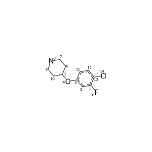 Fc1cc(OC2CC[N]CC2)ccc1Cl